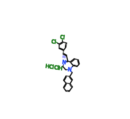 Cl.Cl.Clc1ccc(/C=C/C2=NCCN(Cc3ccc4ccccc4c3)c3ccccc32)cc1Cl